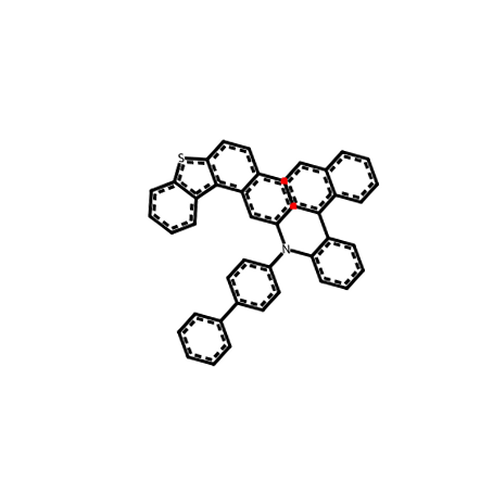 c1ccc(-c2ccc(N(c3ccc4ccc5sc6ccccc6c5c4c3)c3ccccc3-c3cccc4ccccc34)cc2)cc1